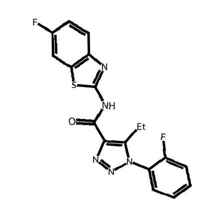 CCc1c(C(=O)Nc2nc3ccc(F)cc3s2)nnn1-c1ccccc1F